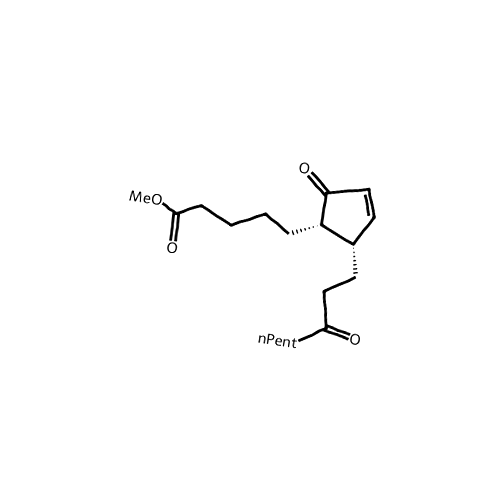 CCCCCC(=O)CC[C@H]1C=CC(=O)[C@H]1CCCCC(=O)OC